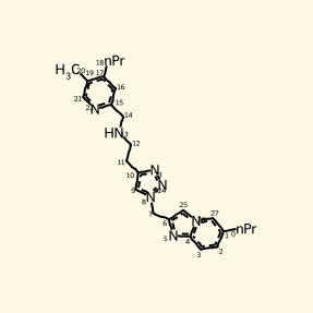 CCCc1ccc2nc(Cn3cc(CCNCc4cc(CCC)c(C)cn4)nn3)cn2c1